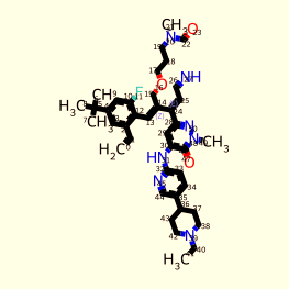 C=Cc1cc(C(C)(C)C)cc(F)c1/C=C(COCCCN(C)C=O)/C(=C\C=N)c1cc(Nc2ccc(C3CCN(CC)CC3)cn2)c(=O)n(C)n1